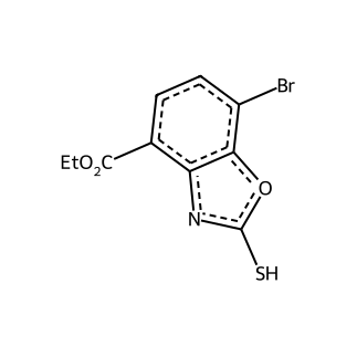 CCOC(=O)c1ccc(Br)c2oc(S)nc12